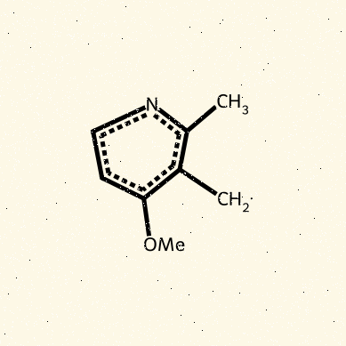 [CH2]c1c(OC)ccnc1C